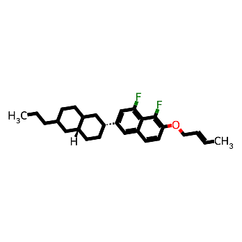 C/C=C/COc1ccc2cc([C@@H]3CC[C@@H]4CC(CCC)CCC4C3)cc(F)c2c1F